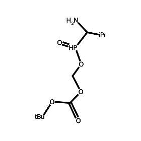 CC(C)C(N)[PH](=O)OCOC(=O)OC(C)(C)C